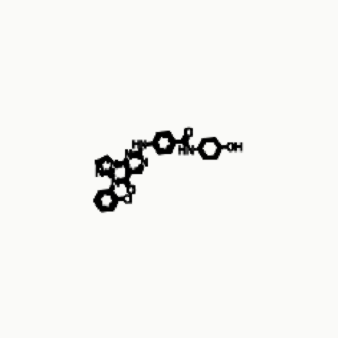 O=C(N[C@H]1CC[C@H](O)CC1)c1ccc(Nc2ncc3c(=O)n(-c4ccccc4Cl)c4nccn4c3n2)cc1